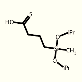 CC(C)O[Si](C)(CCCC(O)=S)OC(C)C